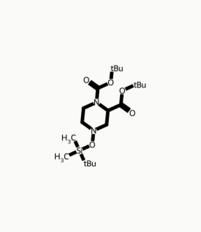 CC(C)(C)OC(=O)C1CN(O[Si](C)(C)C(C)(C)C)CCN1C(=O)OC(C)(C)C